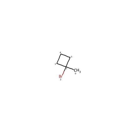 CC1(Br)CCC1